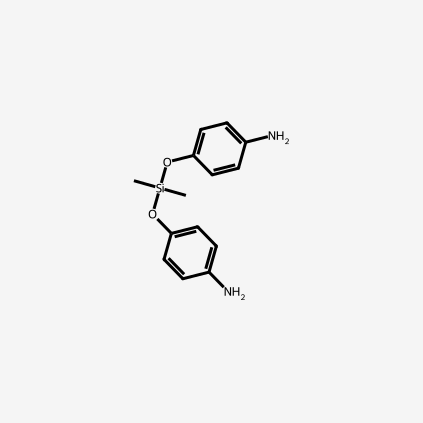 C[Si](C)(Oc1ccc(N)cc1)Oc1ccc(N)cc1